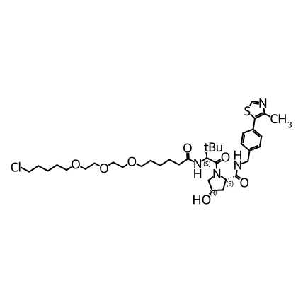 Cc1ncsc1-c1ccc(CNC(=O)[C@@H]2C[C@@H](O)CN2C(=O)[C@@H](NC(=O)CCCCCOCCOCCOCCCCCCl)C(C)(C)C)cc1